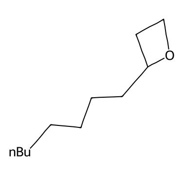 [CH2]CCCCCCCC1CCO1